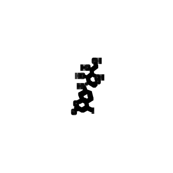 O=C[C@H](Nc1ccc2c(I)cc(=O)oc2c1)[C@@H](O)[C@H](O)[C@H](O)CO